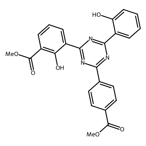 COC(=O)c1ccc(-c2nc(-c3ccccc3O)nc(-c3cccc(C(=O)OC)c3O)n2)cc1